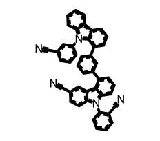 N#Cc1cccc(-n2c3ccccc3c3cccc(-c4cccc(-c5cccc6c5c5cc(C#N)ccc5n6-c5ccccc5C#N)c4)c32)c1